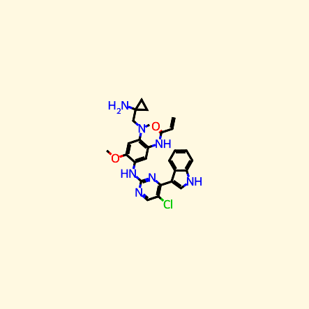 C=CC(=O)Nc1cc(Nc2ncc(Cl)c(-c3c[nH]c4ccccc34)n2)c(OC)cc1N(C)CC1(N)CC1